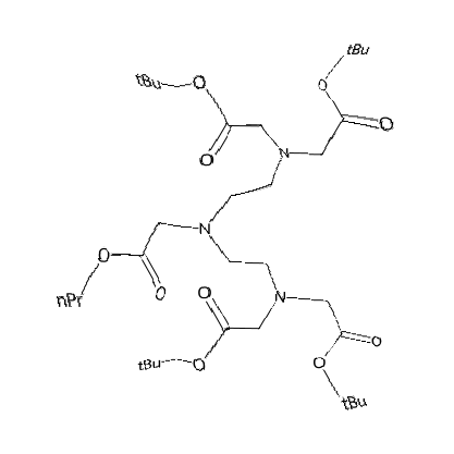 CCCOC(=O)CN(CCN(CC(=O)OC(C)(C)C)CC(=O)OC(C)(C)C)CCN(CC(=O)OC(C)(C)C)CC(=O)OC(C)(C)C